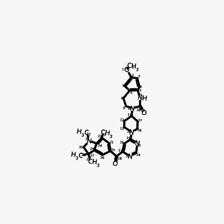 COc1ccc2c(c1)CCN(C1CCN(c3cc(C(=O)c4cc(C)c5c(c4)C(C)(C)CN5C)ncn3)CC1)C(=O)N2